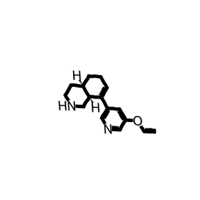 C=COc1cncc(C2=CCC[C@@H]3CCNC[C@H]23)c1